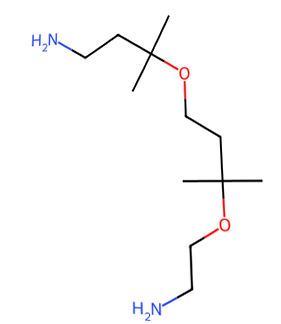 CC(C)(CCN)OCCC(C)(C)OCCN